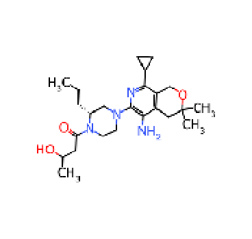 CCC[C@@H]1CN(c2nc(C3CC3)c3c(c2N)CC(C)(C)OC3)CCN1C(=O)CC(C)O